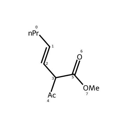 CCCC=CC(C(C)=O)C(=O)OC